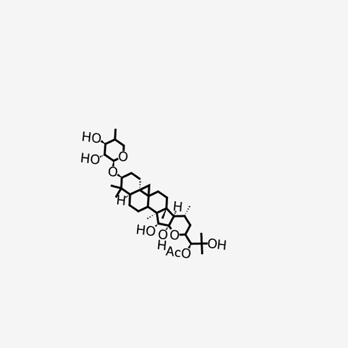 CC(=O)O[C@@H](C1C[C@@H](C)[C@H]2[C@@](O)(O1)[C@H](O)[C@@]1(C)C3CC[C@H]4C(C)(C)[C@@H](O[C@@H]5OCC(C)[C@H](O)[C@H]5O)CC[C@@]45CC35CC[C@]21C)C(C)(C)O